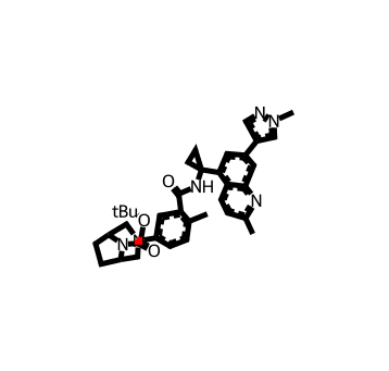 Cc1ccc2c(C3(NC(=O)c4cc(N5CC6CCC(C5)N6C(=O)OC(C)(C)C)ccc4C)CC3)cc(-c3cnn(C)c3)cc2n1